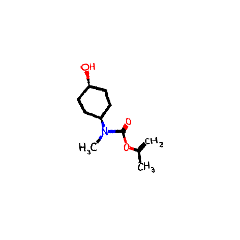 C=C(C)OC(=O)N(C)[C@H]1CC[C@@H](O)CC1